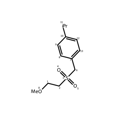 COCCS(=O)(=O)Cc1ccc(C(C)C)cc1